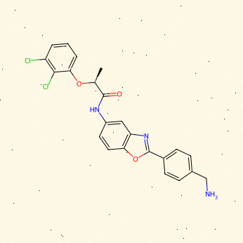 C[C@H](Oc1cccc(Cl)c1Cl)C(=O)Nc1ccc2oc(-c3ccc(CN)cc3)nc2c1